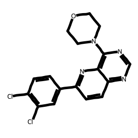 Clc1ccc(-c2ccc3ncnc(N4CCOCC4)c3n2)cc1Cl